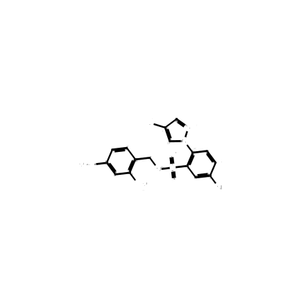 COc1ccc(CNS(=O)(=O)c2cc(N)ccc2-n2cc(Br)cn2)c(OC)c1